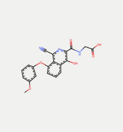 COc1cccc(Oc2cccc3c(O)c(C(=O)NCC(=O)O)nc(C#N)c23)c1